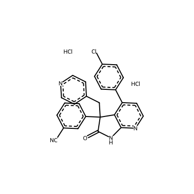 Cl.Cl.N#Cc1cccc(C2(Cc3ccncc3)C(=O)Nc3nccc(-c4ccc(Cl)cc4)c32)c1